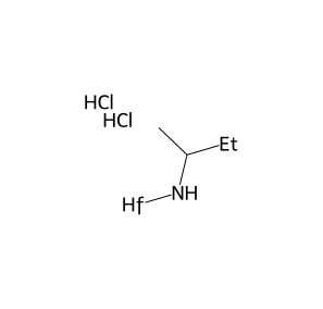 CCC(C)[NH][Hf].Cl.Cl